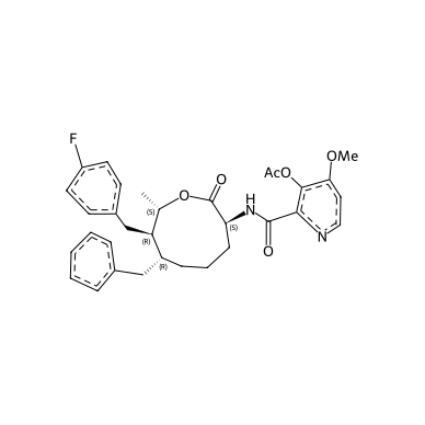 COc1ccnc(C(=O)N[C@H]2CCC[C@H](Cc3ccccc3)[C@@H](Cc3ccc(F)cc3)[C@H](C)OC2=O)c1OC(C)=O